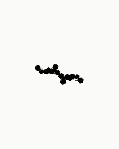 CC1(C)c2cc(-c3ccc(-c4ccccc4)s3)ccc2-c2ccc(N(c3ccccc3)C3CCC(c4ccc(N(c5ccccc5)c5ccc6c(c5)C(C)(C)C5CC(c7ccc(-c8ccccc8)s7)CCC65)cc4)CC3)cc21